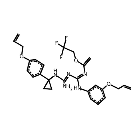 C=CCOc1ccc(C2(N/C(N)=N/C(=N\C(=C)OCC(F)(F)F)Nc3cccc(OCC=C)c3)CC2)cc1